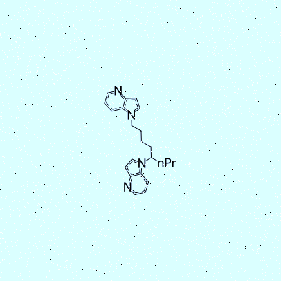 [CH2]CCC(CCCCn1ccc2ncccc21)n1ccc2ncccc21